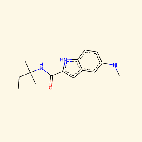 CCC(C)(C)NC(=O)c1cc2cc(NC)ccc2[nH]1